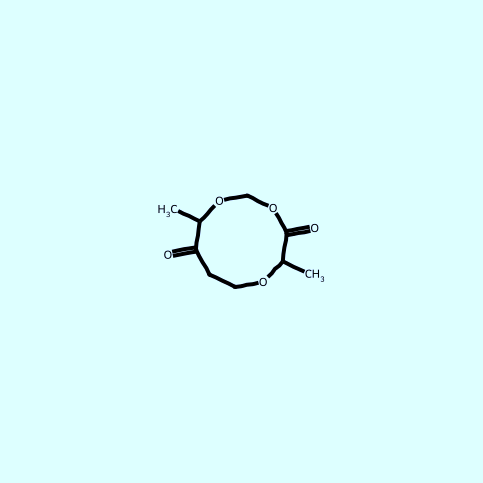 CC1OCOC(=O)C(C)OCCC1=O